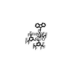 O=C(N[C@@H](CN(Cc1cc(C(F)(F)F)cc(C(F)(F)F)c1)Cc1cc(C(F)(F)F)cc(C(F)(F)F)c1)C(=O)OC(=O)C(F)(F)F)OCC1c2ccccc2-c2ccccc21